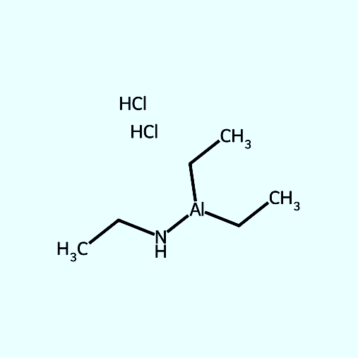 CC[NH][Al]([CH2]C)[CH2]C.Cl.Cl